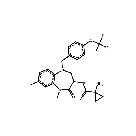 CN1C(=O)C(NC(=O)C2(N)CC2)CN(Cc2ccc(OC(F)(F)F)cc2)c2ccc(Cl)cc21